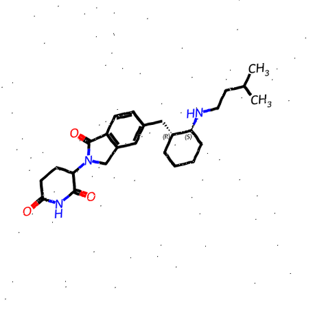 CC(C)CCN[C@H]1CCCC[C@@H]1Cc1ccc2c(c1)CN(C1CCC(=O)NC1=O)C2=O